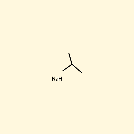 CC(C)C.[NaH]